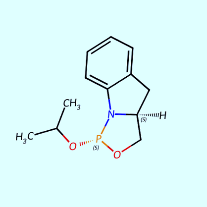 CC(C)O[P@@]1OC[C@@H]2Cc3ccccc3N21